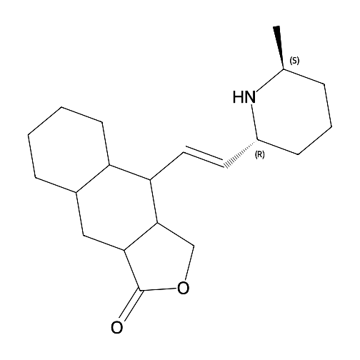 C[C@H]1CCC[C@H](C=CC2C3CCCCC3CC3C(=O)OCC32)N1